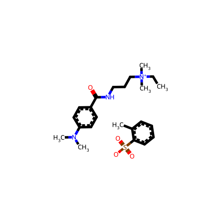 CC[N+](C)(C)CCCNC(=O)c1ccc(N(C)C)cc1.Cc1ccccc1S(=O)(=O)[O-]